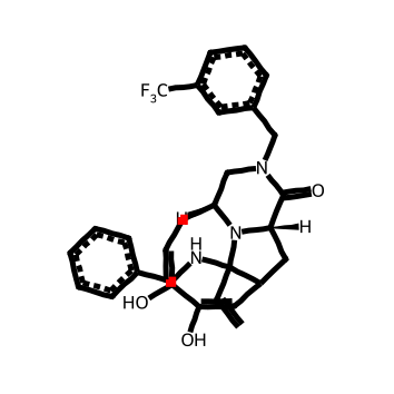 C=CC1(NCc2ccccc2)C2/C=C(O)\C(O)=C/C[C@@H]3CN(Cc4cccc(C(F)(F)F)c4)C(=O)[C@H](C2)N31